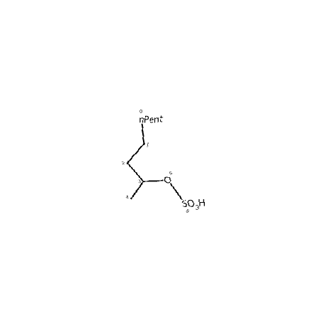 CCCCCCCC(C)OS(=O)(=O)O